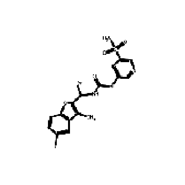 Cc1c(C(NC(=O)Nc2cncc(S(C)(=O)=O)c2)C(C)C)oc2ccc(F)cc12